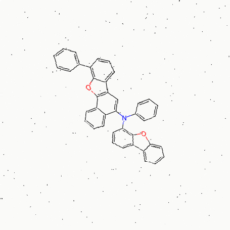 c1ccc(-c2cccc3c2oc2c4ccccc4c(N(c4ccccc4)c4cccc5c4oc4ccccc45)cc32)cc1